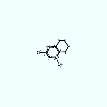 O[n+]1cc(Cl)nc2c1CCCC2